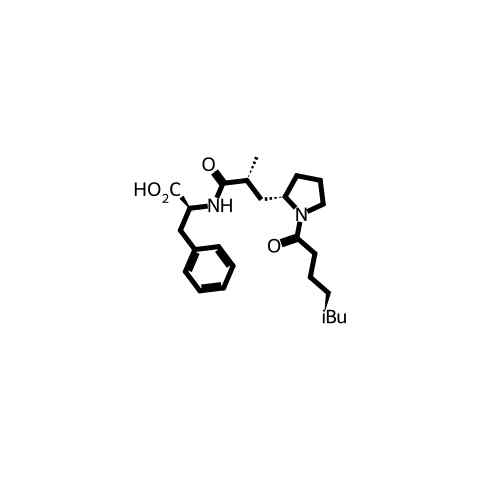 CC[C@H](C)CCCC(=O)N1CCC[C@H]1C[C@@H](C)C(=O)N[C@@H](Cc1ccccc1)C(=O)O